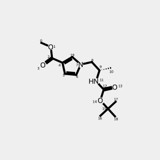 COC(=O)c1ccn(C[C@H](C)NC(=O)OC(C)(C)C)c1